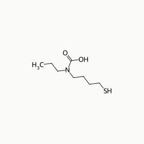 CCCN(CCCCS)C(=O)O